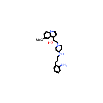 COc1ccc2nccc([C@@H](O)CN3CCC(NCCCc4ccccc4N)CC3)c2c1